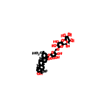 C[C@@H]1O[C@@H](O[C@H]2[C@H](O)[C@@H](O)[C@H](OC[C@H]3O[C@@H](OC(=O)[C@]45CC[C@@](C)(C(=O)O)C[C@H]4C4=CC[C@@H]6[C@@]7(C)CC[C@H](O)[C@@](C)(C=O)[C@@H]7CC[C@@]6(C)[C@]4(C)CC5)[C@H](O)[C@@H](O)[C@@H]3O)O[C@@H]2CO)[C@H](O)[C@H](O)[C@H]1O